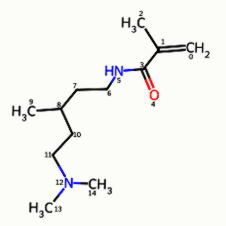 C=C(C)C(=O)NCCC(C)CCN(C)C